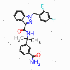 CC(C)(NC(=O)c1nn(Cc2ccc(F)cc2F)c2ccccc12)c1cccc(C(N)=O)c1